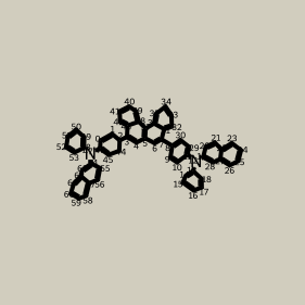 C1=CC(c2cc3cc(-c4ccc(N(c5ccccc5)c5ccc6ccccc6c5)cc4)c4ccccc4c3c3ccccc23)CC=C1N(c1ccccc1)c1ccc2ccccc2c1